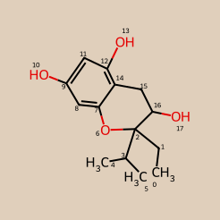 CCC1(C(C)C)Oc2cc(O)cc(O)c2CC1O